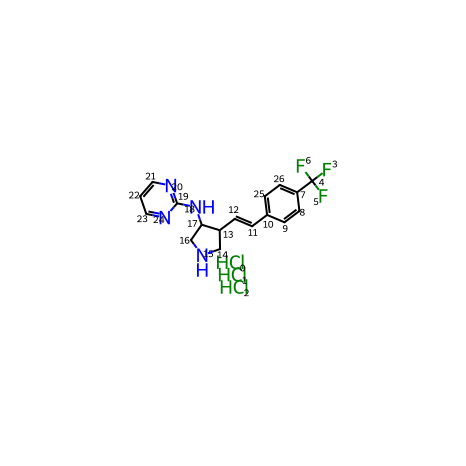 Cl.Cl.Cl.FC(F)(F)c1ccc(C=CC2CNCC2Nc2ncccn2)cc1